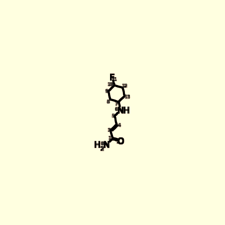 NC(=O)C=CCNC1CCC(F)CC1